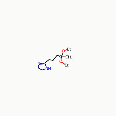 CCO[Si](C)(CCCC1=NCCN1)OCC